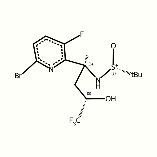 CC(C)(C)[S@@+]([O-])N[C@@](C)(C[C@H](O)C(F)(F)F)c1nc(Br)ccc1F